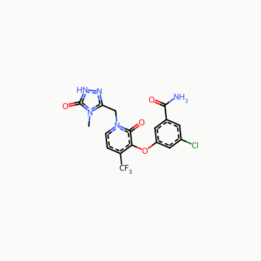 Cn1c(Cn2ccc(C(F)(F)F)c(Oc3cc(Cl)cc(C(N)=O)c3)c2=O)n[nH]c1=O